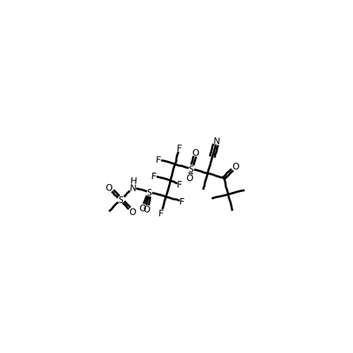 CC(C)(C)C(=O)C(C)(C#N)S(=O)(=O)C(F)(F)C(F)(F)C(F)(F)S(=O)(=O)NS(C)(=O)=O